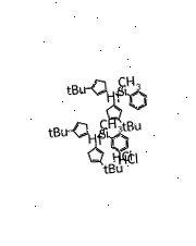 C[Si](c1ccccc1)=[Hf]([C]1=CC(C(C)(C)C)=CC1)[C]1=CC(C(C)(C)C)=CC1.C[Si](c1ccccc1)=[Hf]([C]1=CC(C(C)(C)C)=CC1)[C]1=CC(C(C)(C)C)=CC1.Cl.Cl